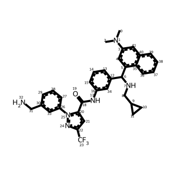 CN(C)c1cc(C(NCC2CC2)c2cccc(NC(=O)c3cc(C(F)(F)F)nn3-c3cccc(CN)c3)c2)c2ccccc2c1